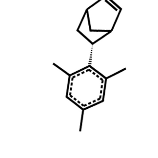 Cc1cc(C)c([C@@H]2CC3C=CC2C3)c(C)c1